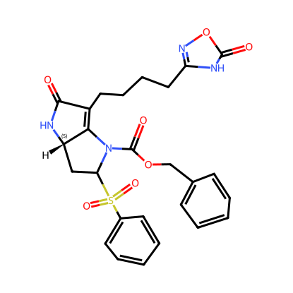 O=C1N[C@H]2CC(S(=O)(=O)c3ccccc3)N(C(=O)OCc3ccccc3)C2=C1CCCCc1noc(=O)[nH]1